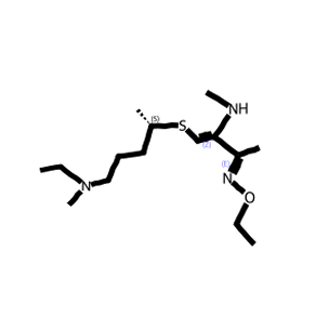 CCO/N=C(C)/C(=C/S[C@@H](C)CCCN(C)CC)NC